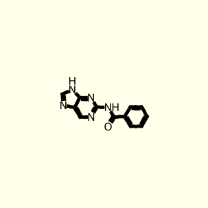 O=C(Nc1ncc2nc[nH]c2n1)c1ccccc1